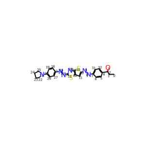 CCC(=O)c1ccc(N=Nc2cc3sc(N=Nc4ccc(N5CCCC5)cc4)nc3s2)cc1